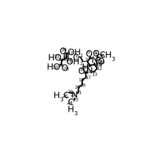 CCC[C@H]1C(=O)N(S(C)(=O)=O)[C@H]2CCN(C(=O)CCCCCN(CC)CC)[C@H]12.O=C(O)C(O)C(O)C(=O)O